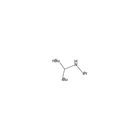 CCCCC(NC(C)C)C(C)CC